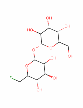 OCC1O[C@H](O[C@H]2OC(CF)[C@@H](O)[C@H](O)C2O)C(O)[C@H](O)[C@@H]1O